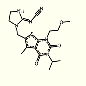 COCCn1c(=O)n(C(C)C)c(=O)c2c(C)c(CN3CCN/C3=N\C#N)sc21